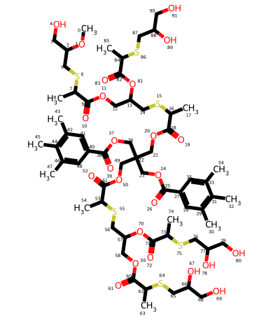 COC(CO)CSC(C)C(=O)OCC(CSC(C)C(=O)OCC(COC(=O)c1cc(C)c(C)c(C)c1)(COC(=O)c1cc(C)c(C)c(C)c1)COC(=O)C(C)SCC(COC(=O)C(C)SCC(O)CO)OC(=O)C(C)SCC(O)CO)OC(=O)C(C)SCC(O)CO